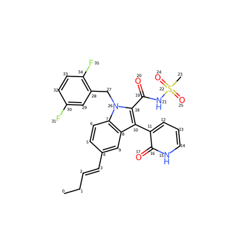 CC/C=C/c1ccc2c(c1)c(-c1ccc[nH]c1=O)c(C(=O)NS(C)(=O)=O)n2Cc1cc(F)ccc1F